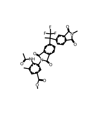 COC(=O)c1cc(C)c(NC(C)=O)c(N2C(=O)c3ccc(C(C)(c4ccc5c(c4)C(=O)N(C)C5=O)C(F)(F)F)cc3C2=O)c1